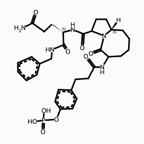 NC(=O)CC[C@H](NC(=O)C1CC[C@@H]2CCCCC(NC(=O)CCc3ccc(OP(=O)(O)O)cc3)C(=O)N12)C(=O)NCc1ccccc1